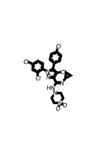 O=S1(=O)CCN(NC(=NC2CC2)c2nn(-c3ccc(Cl)cc3Cl)c(-c3ccc(Cl)cc3)c2Cl)CC1